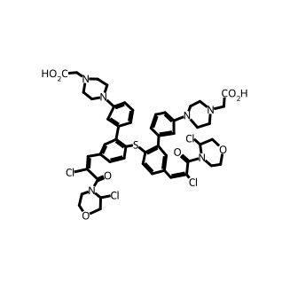 O=C(O)CN1CCN(c2cccc(-c3cc(/C=C(/Cl)C(=O)N4CCOCC4Cl)ccc3Sc3ccc(/C=C(/Cl)C(=O)N4CCOCC4Cl)cc3-c3cccc(N4CCN(CC(=O)O)CC4)c3)c2)CC1